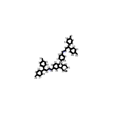 Cc1ccc(C(=C/C=C/c2ccc(N3c4ccc(/C=C/C=C(c5ccc(C)cc5)c5ccc(C)cc5)cc4C4CSCCC43)cc2)c2ccc(C)cc2)cc1